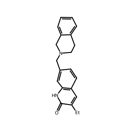 CCc1cc2ccc(CN3CCc4ccccc4C3)cc2[nH]c1=O